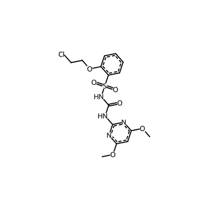 COc1cc(OC)nc(NC(=O)NS(=O)(=O)c2ccccc2OCCCl)n1